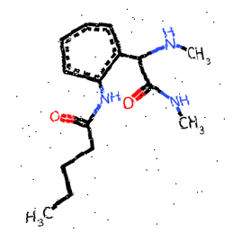 CCCCC(=O)Nc1ccccc1C(NC)C(=O)NC